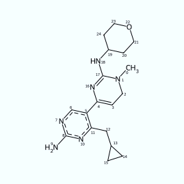 CN1CC=C(c2cnc(N)nc2CC2CC2)N=C1NC1CCOCC1